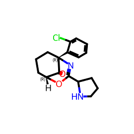 O=C1[C@H]2CCC[C@]1(c1ccccc1Cl)N=C(C1CCCN1)O2